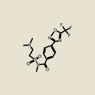 CN(C)CCS(=O)(=O)N(C)C(=O)c1ccc(-c2noc(C(F)(F)F)n2)cc1